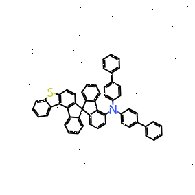 c1ccc(-c2ccc(N(c3ccc(-c4ccccc4)cc3)c3cccc4c3-c3ccccc3C43c4ccccc4-c4c3ccc3sc5ccccc5c43)cc2)cc1